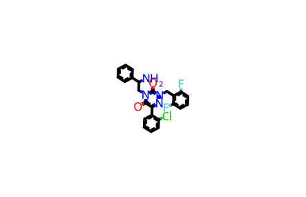 NC(Cn1c(=O)c(-c2ccccc2Cl)nn(Cc2c(F)cccc2F)c1=O)c1ccccc1